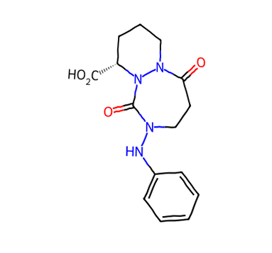 O=C(O)[C@@H]1CCCN2C(=O)CCN(Nc3ccccc3)C(=O)N12